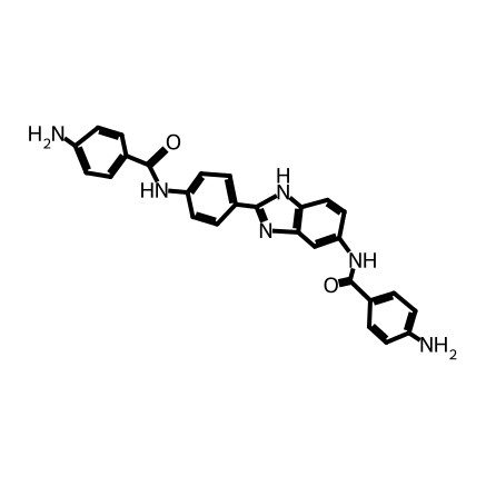 Nc1ccc(C(=O)Nc2ccc(-c3nc4cc(NC(=O)c5ccc(N)cc5)ccc4[nH]3)cc2)cc1